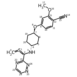 C=S=C(N[C@H]1CC[C@H](Oc2ccc(C#N)c(OC)c2)CC1)c1nccnn1